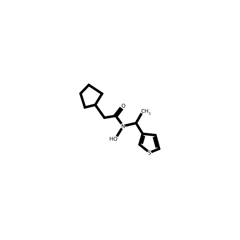 CC(c1ccsc1)N(O)C(=O)CC1CCCC1